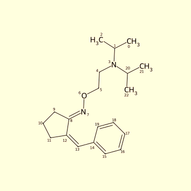 CC(C)N(CCON=C1CCCC1=Cc1ccccc1)C(C)C